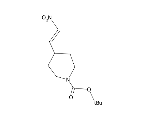 CC(C)(C)OC(=O)N1CCC(C=C[N+](=O)[O-])CC1